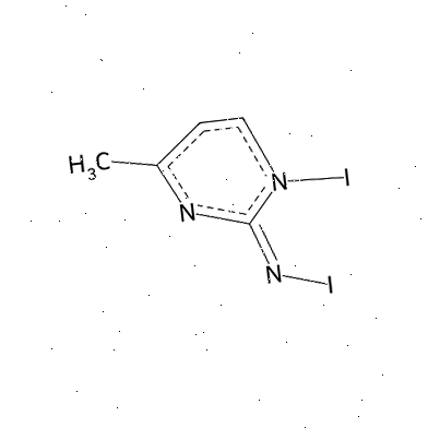 Cc1ccn(I)/c(=N\I)n1